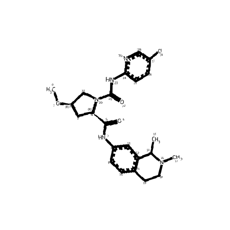 CO[C@@H]1C[C@H](C(=O)Nc2ccc3c(c2)C(C)N(C)CC3)N(C(=O)Nc2ccc(Cl)cn2)C1